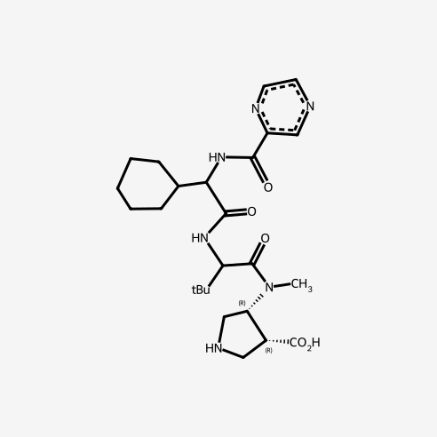 CN(C(=O)C(NC(=O)C(NC(=O)c1cnccn1)C1CCCCC1)C(C)(C)C)[C@H]1CNC[C@H]1C(=O)O